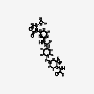 CC(=O)NC1CCN(Cc2ccc([C@H](C)Nc3nccc(N4C(=O)OC[C@@H]4C4CC4)n3)cc2)CC1(F)F